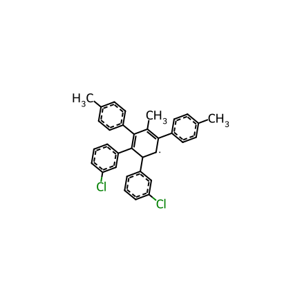 CC1=C(c2ccc(C)cc2)[CH]C(c2cccc(Cl)c2)C(c2cccc(Cl)c2)=C1c1ccc(C)cc1